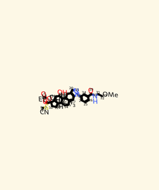 CCC(=O)O[C@]1(C(=O)SCC#N)CC[C@H]2[C@@H]3CCC4=Cc5c(cnn5-c5cccc(C(=O)NCCOC)c5)C[C@]4(C)[C@H]3[C@@H](O)C[C@@]21C